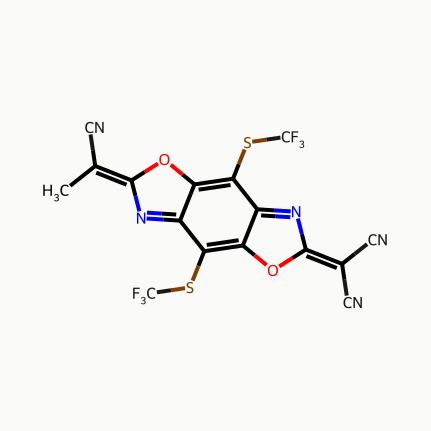 C/C(C#N)=c1\nc2c(SC(F)(F)F)c3oc(=C(C#N)C#N)nc3c(SC(F)(F)F)c2o1